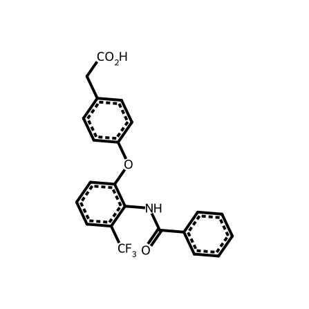 O=C(O)Cc1ccc(Oc2cccc(C(F)(F)F)c2NC(=O)c2ccccc2)cc1